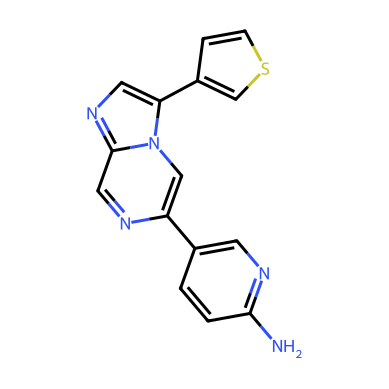 Nc1ccc(-c2cn3c(-c4ccsc4)cnc3cn2)cn1